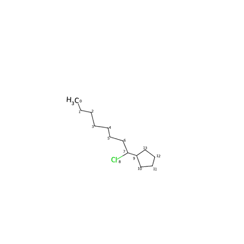 CCCCCCCC(Cl)C1CCCC1